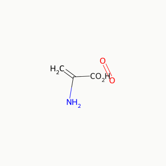 C=C(N)C(=O)O.O=O